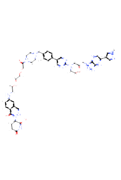 Cn1cc(-c2cnc3c(nnn3C[C@@H]3CN(c4ncc(-c5ccc(CN6CCN(C(=O)COCCOCCNc7ccc8c(=O)n(C9CCC(=O)NC9=O)ncc8c7)CC6)cc5)cn4)CCO3)n2)cn1